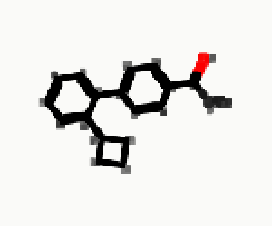 COC(=O)c1ccc(-c2ccccc2C2CCC2)cc1